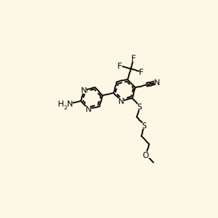 COCCSCSc1nc(-c2cnc(N)nc2)cc(C(F)(F)F)c1C#N